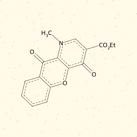 CCOC(=O)c1cn(C)c2c(=O)c3ccccc3oc2c1=O